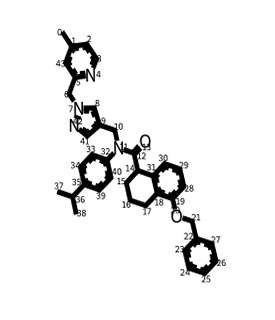 Cc1ccnc(Cn2cc(CN(C(=O)C3CCCc4c(OCc5ccccc5)cccc43)c3ccc(C(C)C)cc3)cn2)c1